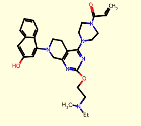 C=CC(=O)N1CCN(c2nc(OCCN(C)CC)nc3c2CCN(c2cc(O)cc4ccccc24)C3)CC1